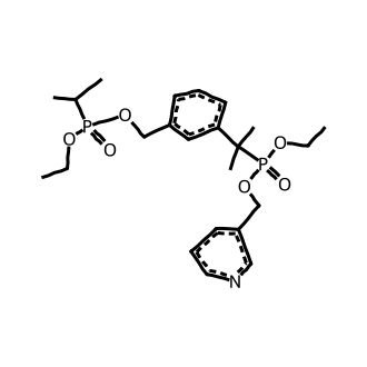 CCOP(=O)(OCc1cccc(C(C)(C)P(=O)(OCC)OCc2cccnc2)c1)C(C)C